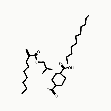 C=C(CCCCCCC)C(=O)OCC(C)C.CCCCCCCCCCI.O=C(O)C1CCC(C(=O)O)CC1